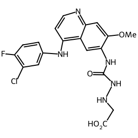 COc1cc2nccc(Nc3ccc(F)c(Cl)c3)c2cc1NC(=O)NNCC(=O)O